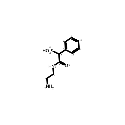 NCCNC(=O)C(c1ccccc1)S(=O)(=O)O